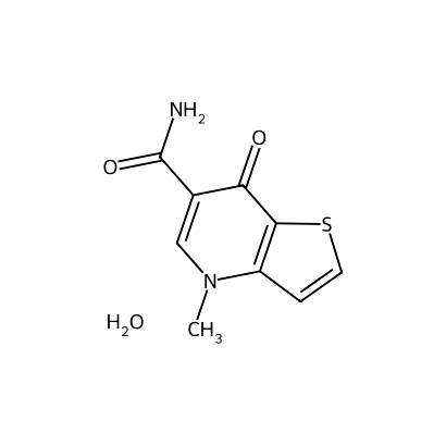 Cn1cc(C(N)=O)c(=O)c2sccc21.O